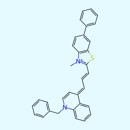 C[n+]1c(C=CC=C2C=CN(Cc3ccccc3)c3ccccc32)sc2cc(-c3ccccc3)ccc21